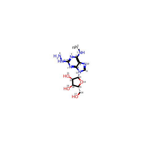 CCCNc1nc(NN)nc2c1ncn2[C@@H]1O[C@H](CO)[C@@H](O)[C@H]1O